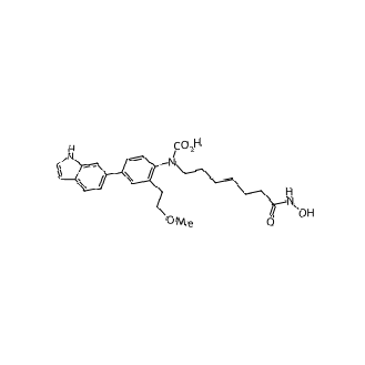 COCCc1cc(-c2ccc3cc[nH]c3c2)ccc1N(CCCCCCC(=O)NO)C(=O)O